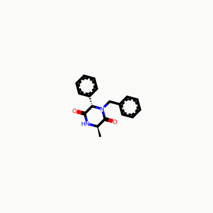 C[C@H]1NC(=O)[C@H](c2ccccc2)N(Cc2ccccc2)C1=O